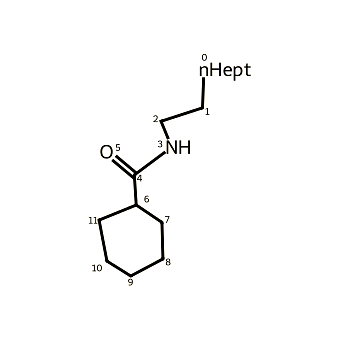 CCCCCCCCCNC(=O)C1CCCCC1